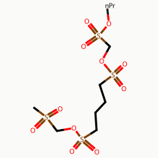 CCCOS(=O)(=O)COS(=O)(=O)CCCCS(=O)(=O)OCS(C)(=O)=O